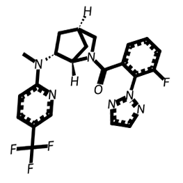 CN(c1ccc(C(F)(F)F)cn1)[C@@H]1C[C@@H]2C[C@@H]1N(C(=O)c1cccc(F)c1-n1nccn1)C2